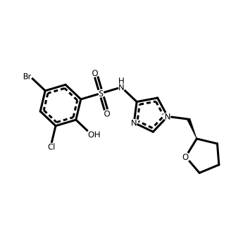 O=S(=O)(Nc1cn(C[C@H]2CCCO2)cn1)c1cc(Br)cc(Cl)c1O